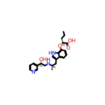 CCC[C@H](Oc1cccc2c(C[C@@H](C)NC[C@@H](O)c3cccnc3)c[nH]c12)C(=O)O